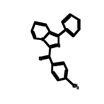 O=C(c1ccc(C(F)(F)F)cc1)c1nc(-c2ccccc2)c2ccccn12